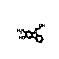 Nc1cc2c(cc1O)c1ccccc1n2CCO